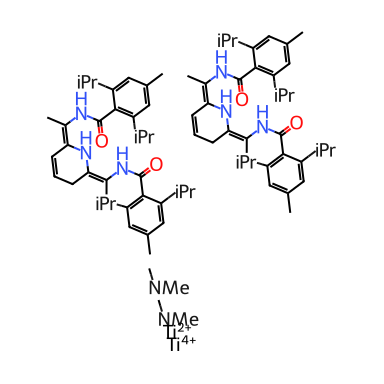 CC(NC(=O)c1c(C(C)C)cc(C)cc1C(C)C)=C1C=CCC(=C(C)NC(=O)c2c(C(C)C)cc(C)cc2C(C)C)N1.CC(NC(=O)c1c(C(C)C)cc(C)cc1C(C)C)=C1C=CCC(=C(C)NC(=O)c2c(C(C)C)cc(C)cc2C(C)C)N1.C[N-]C.C[N-]C.[Ti+2].[Ti+4]